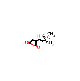 CO[Si](C)(C)CCC1CC(=O)OC1=O